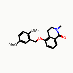 COc1ccc(OC)c(COc2cccc3c2CCN(C)C3=O)c1